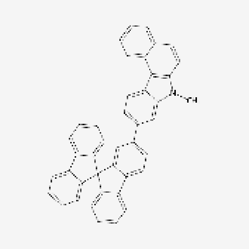 Cn1c2cc(-c3ccc4c(c3)C3(c5ccccc5-c5ccccc53)c3ccccc3-4)ccc2c2c3ccccc3ccc21